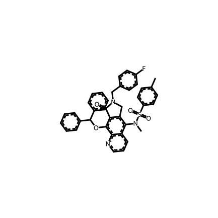 Cc1ccc(S(=O)(=O)N(C)c2c3c(c(OC(c4ccccc4)c4ccccc4)c4ncccc24)C(=O)N(Cc2ccc(F)cc2)C3)cc1